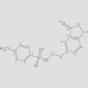 Cc1ccc(S(=O)(=O)OCCc2ccc3c(c2)C(=O)CC3)cc1